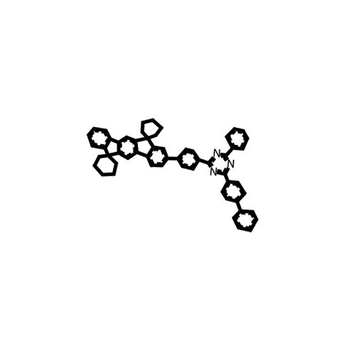 c1ccc(-c2ccc(-c3nc(-c4ccccc4)nc(-c4ccc(-c5ccc6c(c5)C5(CCCCC5)c5cc7c(cc5-6)C5(CCCCC5)c5ccccc5-7)cc4)n3)cc2)cc1